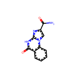 NC(=O)c1cn2c(n1)[nH]c(=O)c1ccccc12